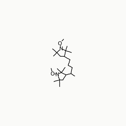 CON1C(C)(C)CC(CCCC(C)C2CC(C)(C)N(OC)C2(C)C)C1(C)C